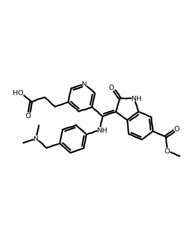 COC(=O)c1ccc2c(c1)NC(=O)C2=C(Nc1ccc(CN(C)C)cc1)c1cncc(CCC(=O)O)c1